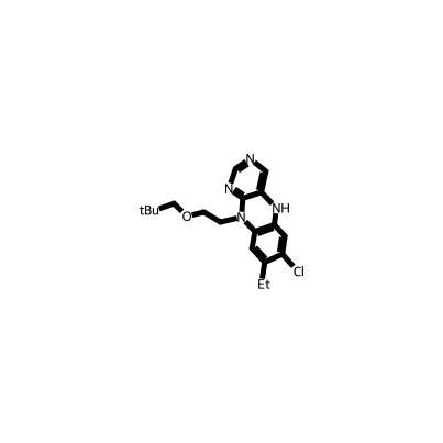 CCc1cc2c(cc1Cl)Nc1cncnc1N2CCOCC(C)(C)C